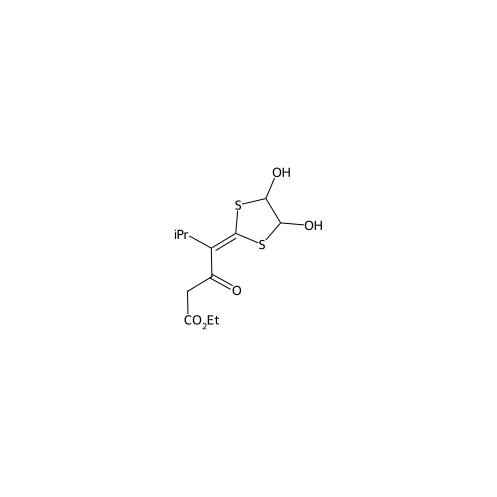 CCOC(=O)CC(=O)C(=C1SC(O)C(O)S1)C(C)C